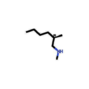 CCCC[C@@H](C)CNC